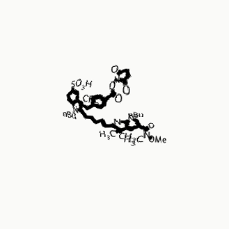 CCCCN1/C(=C/C=C/C=C/C2=Nc3c(cc(C(=O)N(C)OC)c[n+]3CCCC)C2(C)C)C(C)(Cc2ccc(C(=O)ON3C(=O)CCC3=O)cc2)c2cc(S(=O)(=O)O)ccc21